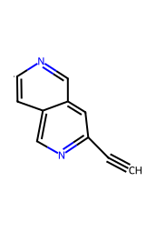 C#Cc1cc2cn[c]cc2cn1